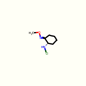 CO/N=C1\CCCC[C@@H]1NCl